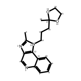 Cc1nc2cnc3ccccc3c2n1CCCC1(C)OCCO1